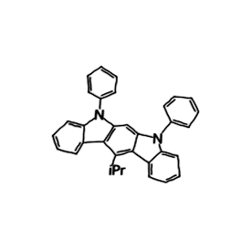 CC(C)c1c2c3ccccc3n(-c3ccccc3)c2cc2c1c1ccccc1n2-c1ccccc1